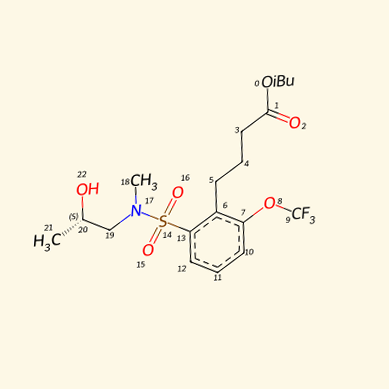 CC(C)COC(=O)CCCc1c(OC(F)(F)F)cccc1S(=O)(=O)N(C)C[C@H](C)O